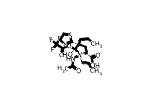 C/C=C\[C@@]1(C2=NCCS2)C[C@H](C(=O)O)[N@@+](CCC)(NC(C)=O)[C@@]1(O)OC(=O)C(F)(F)F